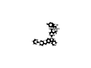 CC1CC2CC(C1)C(NC(=O)c1cnc(N3CC4(CCOCC4)c4cc(CC5CCN(c6ncccn6)CC5)ccc43)nc1C(F)(F)F)(C(=O)O)C2